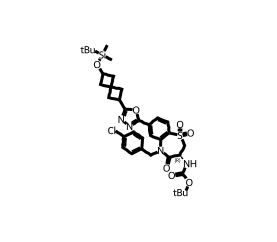 CC(C)(C)OC(=O)N[C@H]1CS(=O)(=O)c2ccc(-c3nnc(C4CC5(CC(O[Si](C)(C)C(C)(C)C)C5)C4)o3)cc2N(Cc2ccc(Cl)cc2)C1=O